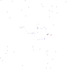 C=CCN1C(=O)NC(=O)NC1O